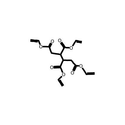 C=COC(=O)CC(C(=O)OC=C)C(CC(=O)OC=C)C(=O)OC=C